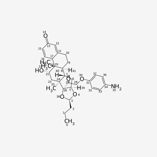 CCC[C@@H]1O[C@@H]2C[C@H]3[C@@H]4CCC5=CC(=O)C=C[C@]5(C)[C@@]4(C)[C@@H](O)C[C@]3(C)[C@]2(C(=O)COc2ccc(N)cc2)O1